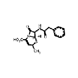 CC1C=C(C(=O)O)N2C(=O)C(NC(=O)Cc3ccccc3)[C@H]2S1